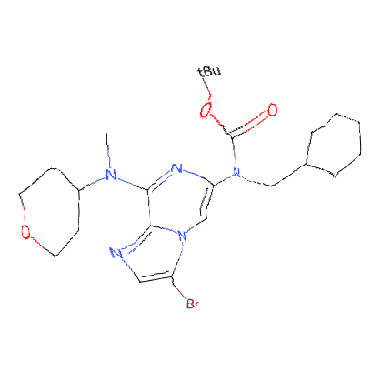 CN(c1nc(N(CC2CCCCC2)C(=O)OC(C)(C)C)cn2c(Br)cnc12)C1CCOCC1